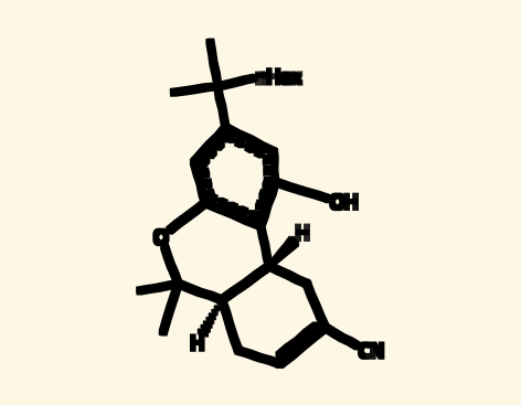 CCCCCCC(C)(C)c1cc(O)c2c(c1)OC(C)(C)[C@@H]1CC=C(C#N)C[C@@H]21